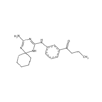 CCCC(=O)c1cccc(NC2=NC(N)=NC3(CCCCC3)N2)c1